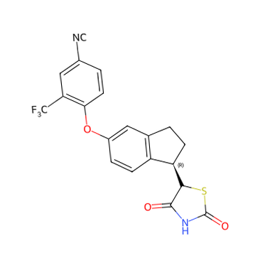 [C-]#[N+]c1ccc(Oc2ccc3c(c2)CC[C@H]3C2SC(=O)NC2=O)c(C(F)(F)F)c1